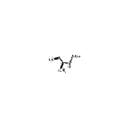 C=CC(=C)NNC